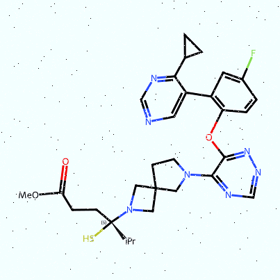 COC(=O)CC[C@](S)(C(C)C)N1CC2(CCN(c3ncnnc3Oc3ccc(F)cc3-c3cncnc3C3CC3)C2)C1